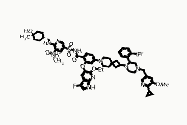 CCOc1nc2[nH]cc(F)c2cc1Oc1cc(N2CCC3(CC2)CC(N2CCN(Cc4cnc(C5CC5)c(OC)c4)CC2c2ccccc2C(C)C)C3)ccc1C(=O)NS(=O)(=O)c1cnc(NC[C@H]2CC[C@](C)(O)CC2)c([NH+](C)[O-])c1